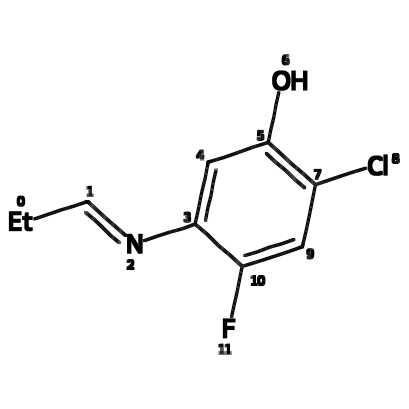 CCC=Nc1cc(O)c(Cl)cc1F